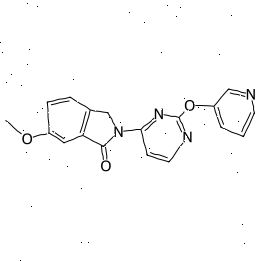 COc1ccc2c(c1)C(=O)N(c1ccnc(Oc3cccnc3)n1)C2